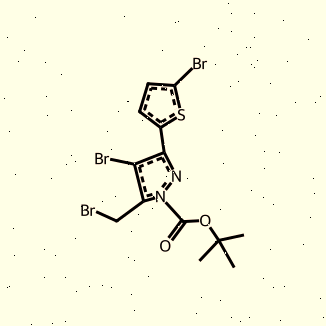 CC(C)(C)OC(=O)n1nc(-c2ccc(Br)s2)c(Br)c1CBr